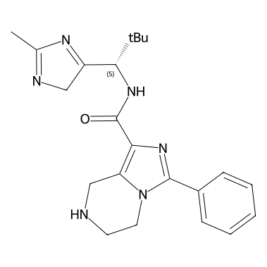 CC1=NCC([C@@H](NC(=O)c2nc(-c3ccccc3)n3c2CNCC3)C(C)(C)C)=N1